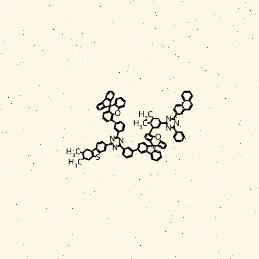 CC1Cc2sc3cc(-c4nc(-c5cccc(-c6ccc7c(c6)-c6ccccc6[C@@]76c7ccccc7Oc7c(C8C=C(c9nc(-c%10ccccc%10)nc(-c%10ccc%11c(ccc%12ccccc%12%11)c%10)n9)CC(C)C8C)cccc76)c5)nc(-c5cccc(-c6cccc7c6Oc6ccccc6C76C7=C(C=CC=CC7)c7ccccc76)c5)n4)ccc3c2CC1C